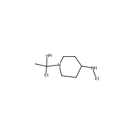 CCCC(C)(CC)N1CCC(NCC)CC1